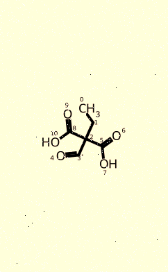 CCC([C]=O)(C(=O)O)C(=O)O